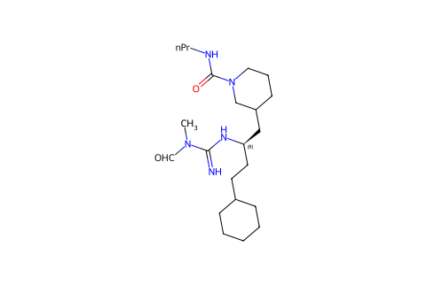 CCCNC(=O)N1CCCC(C[C@@H](CCC2CCCCC2)NC(=N)N(C)C=O)C1